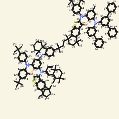 C=C/C(=C\C1=C(C)C(C)(C)CCC1(C)C)N1c2cc(N3c4ccc(C(C)(C)CCC5(C)CCC(C)(C)c6cc7c8c(sc7cc65)N(c5ccc6c(c5)C(C)(C)CCC6(C)C)c5cc(C)cc6c5B8c5ccc(-c7ccccc7)cc5N6c5cc(-c6ccccc6)cc(-c6ccccc6)c5)cc4C4(C)CCCCC34C)cc3c2B(c2cc(C(C)(C)C)ccc2N3c2ccc(C(C)(C)C)cc2)c2sc3cc4c(cc3c21)C1(C)CCC4(C)C1